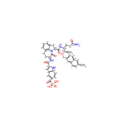 Cc1ccc2cc(CO[C@H](C)[C@H](CCC(N)=O)NC(=O)[C@@H]3Cc4cccc5c4N3C(=O)[C@@H](NC(=O)c3cc4cc(C(=O)P(=O)(O)O)ccc4[nH]3)CC5)ccc2c1